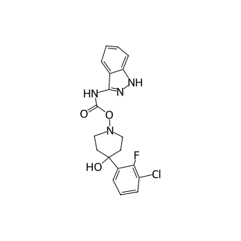 O=C(Nc1n[nH]c2ccccc12)ON1CCC(O)(c2cccc(Cl)c2F)CC1